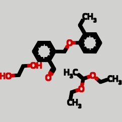 CCOC(C)OCC.CCc1ccccc1OCc1ccccc1C=O.OCCO